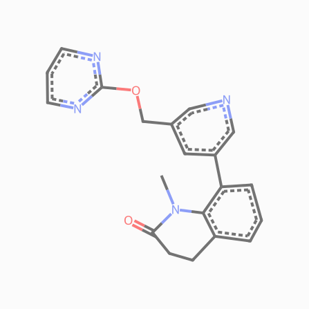 CN1C(=O)CCc2cccc(-c3cncc(COc4ncccn4)c3)c21